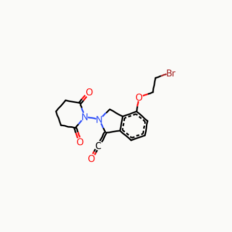 O=C=C1c2cccc(OCCBr)c2CN1N1C(=O)CCCC1=O